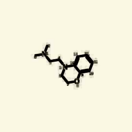 CN(C)CCN1CCOc2cc[c]cc21